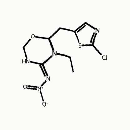 CCN1C(=N[N+](=O)[O-])NCOC1Cc1cnc(Cl)s1